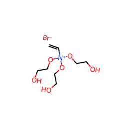 C=C[N+](OCCO)(OCCO)OCCO.[Br-]